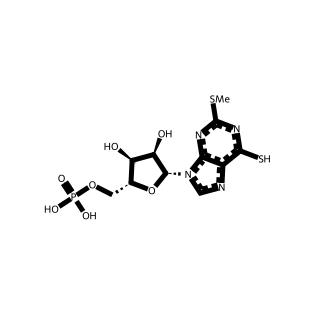 CSc1nc(S)c2ncn([C@@H]3O[C@H](COP(=O)(O)O)[C@@H](O)[C@H]3O)c2n1